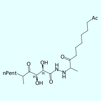 CCCCCC(C)C(=O)[C@H](O)[C@@H](O)C(=O)NNC(C)C(=O)CCCCCCC(C)=O